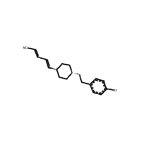 CCc1ccc(CC[C@H]2CC[C@H](C=CC=CC#N)CC2)cc1